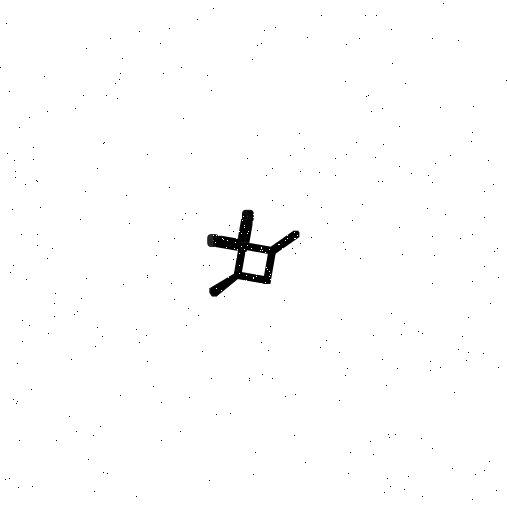 CC1C[C@@H](C)S1(=O)=O